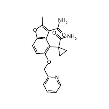 Cc1oc2ccc(OCc3ccccn3)c(C3(C(N)=O)CC3)c2c1C(N)=O